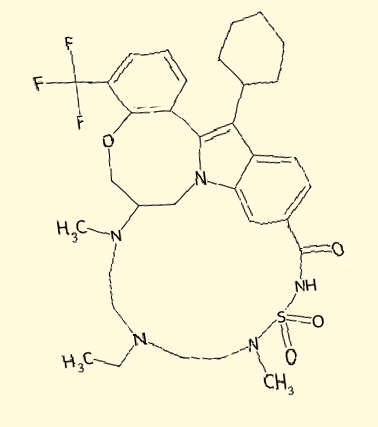 CCN1CCN(C)C2COc3c(cccc3C(F)(F)F)-c3c(C4CCCCC4)c4ccc(cc4n3C2)C(=O)NS(=O)(=O)N(C)CC1